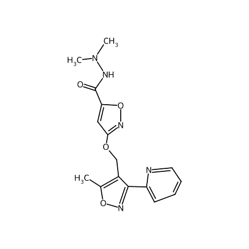 Cc1onc(-c2ccccn2)c1COc1cc(C(=O)NN(C)C)on1